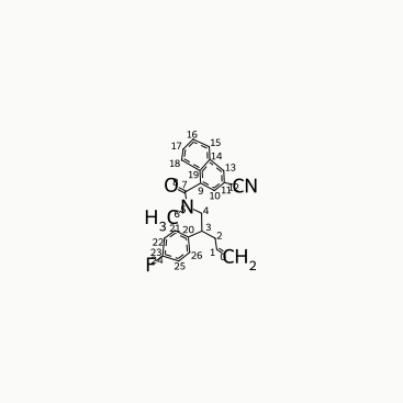 C=CCC(CN(C)C(=O)c1cc(C#N)cc2ccccc12)c1ccc(F)cc1